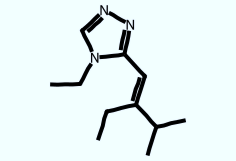 CC/C(=C\c1nncn1CC)C(C)C